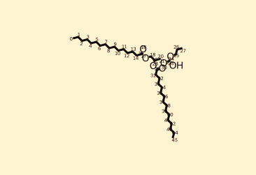 CCCCCCCCCCCCCCCC(=O)OCC(COC(O)OCCC)OC(=O)CCCCCCCCCCCCCCC